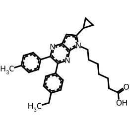 CCc1ccc(-c2nc3c(cc(C4CC4)n3CCCCCCC(=O)O)nc2-c2ccc(C)cc2)cc1